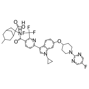 CC1CC2CC(C1)C(NC(=O)c1ccc(-c3cn(C4CC4)c4cc(OC5CCN(c6ncc(F)cn6)CC5)ccc34)nc1C(F)(F)F)(C(=O)O)C2